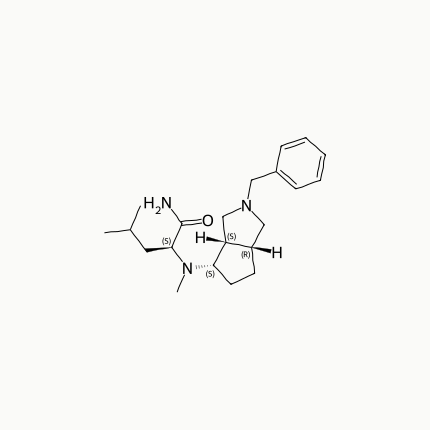 CC(C)C[C@@H](C(N)=O)N(C)[C@H]1CC[C@H]2CN(Cc3ccccc3)C[C@H]21